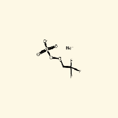 O=S(=O)([O-])OOCC(F)(F)F.[Na+]